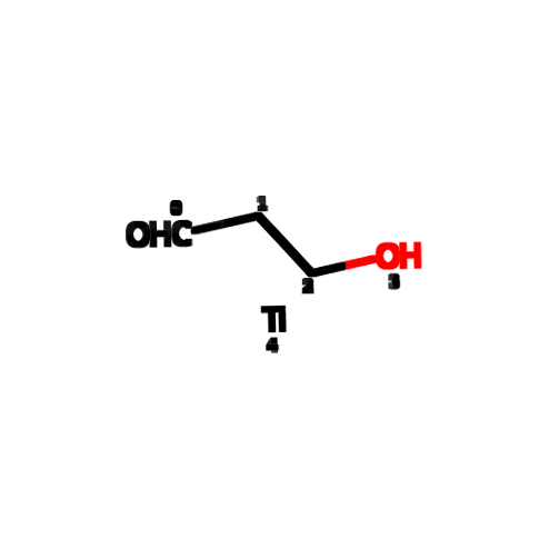 O=CCCO.[Ti]